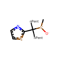 CCCCCC(CCCCC)(c1nccs1)[S+](C)[O-]